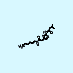 CC(C)CC(=O)Nc1nc(CC(=O)NCCCCCN)cs1